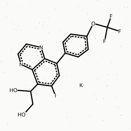 OCC(O)c1c(I)cc(-c2ccc(OC(F)(F)F)cc2)c2nccnc12.[K]